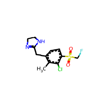 Cc1c(CC2=NCCN2)ccc(S(=O)(=O)CF)c1Cl